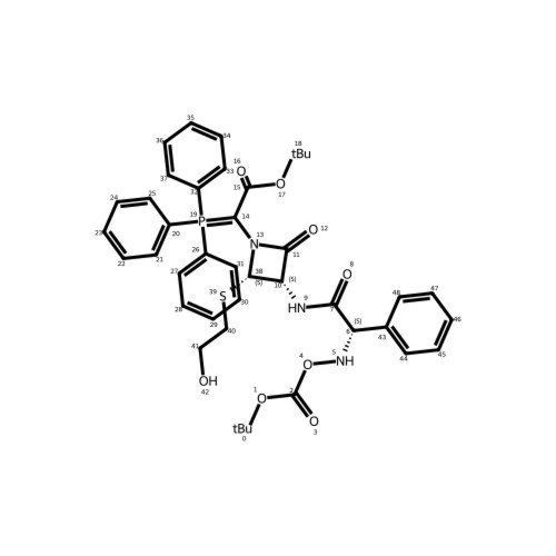 CC(C)(C)OC(=O)ON[C@H](C(=O)N[C@H]1C(=O)N(C(C(=O)OC(C)(C)C)=P(c2ccccc2)(c2ccccc2)c2ccccc2)[C@H]1SCCO)c1ccccc1